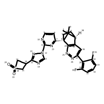 CC1(C)[C@H]2CC[C@]1(c1ccnc(-n3cnc(C4CS(=O)(=O)C4)n3)n1)c1nnc(-c3c(F)cccc3F)cc12